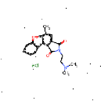 Cc1cc2c(c3c1oc1ccccc13)C(=O)N(CCN(C)C)C2=O.Cl